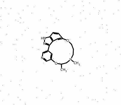 CC1CN(C)CCCOc2ccc3[nH]nc(c3c2)-c2cncc(c2)O1